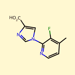 Cc1ccnc(-n2cnc(C(=O)O)c2)c1F